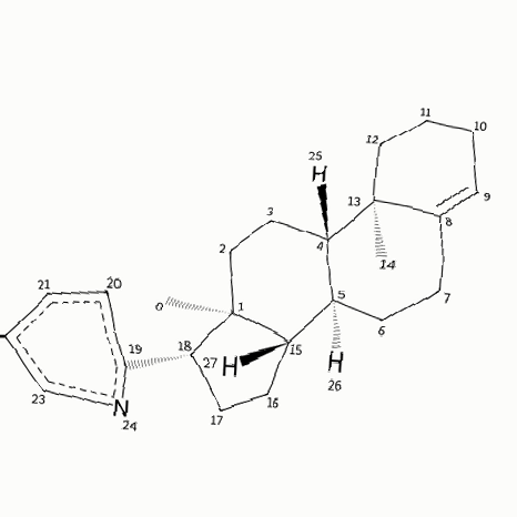 C[C@]12CC[C@H]3[C@@H](CCC4=CCCC[C@@]43C)[C@@H]1CC[C@@H]2c1ccccn1